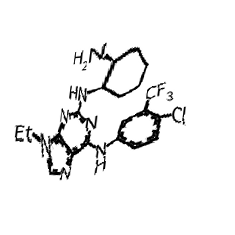 CCn1cnc2c(Nc3ccc(Cl)c(C(F)(F)F)c3)nc(N[C@@H]3CCCC[C@@H]3N)nc21